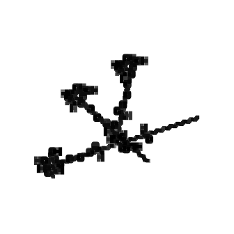 CCCCCCCCCCCCCCCC(=O)NCCCC[C@H](NC(=O)[C@H](CCCCNC(=O)COCCOCCOCCO[C@@H]1O[C@H](CO)[C@H](O)[C@H](O)[C@H]1NC(C)=O)NC(=O)[C@H](CCCCNC(=O)COCCOCCOCCO[C@@H]1O[C@H](CO)[C@H](O)[C@H](O)[C@H]1NC(C)=O)NC(=O)COCCOCCOCCO[C@@H]1O[C@H](CO)[C@H](O)[C@H](O)[C@H]1NC(C)=O)C(=O)NCCCCCC